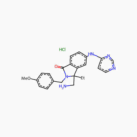 CCC1(CN)c2cc(Nc3ccncn3)ccc2C(=O)N1Cc1ccc(OC)cc1.Cl